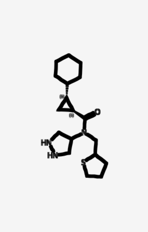 O=C([C@H]1C[C@@H]1C1CCCCC1)N(CC1CCCS1)C1CNNC1